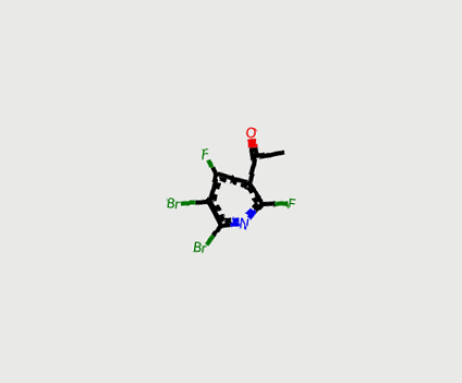 CC(=O)c1c(F)nc(Br)c(Br)c1F